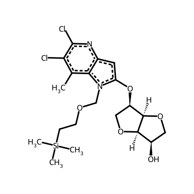 Cc1c(Cl)c(Cl)nc2cc(O[C@@H]3CO[C@H]4[C@@H]3OC[C@H]4O)n(COCC[Si](C)(C)C)c12